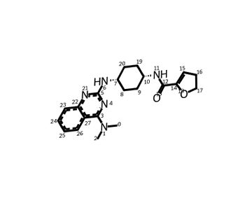 CN(C)c1nc(N[C@H]2CC[C@@H](NC(=O)C3=CCCO3)CC2)nc2ccccc12